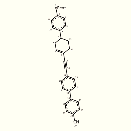 CCCCCc1ccc(C2CC=C(C#Cc3ccc(-c4ccc(C#N)cc4)cc3)CC2)cc1